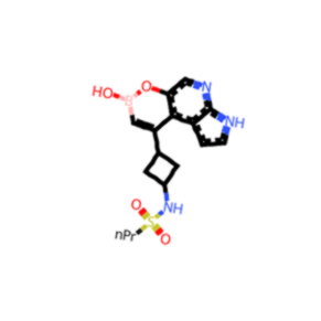 CCCS(=O)(=O)NC1CC(C2=CB(O)Oc3cnc4[nH]ccc4c32)C1